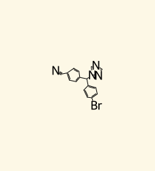 N#Cc1ccc(C(c2ccc(Br)cc2)n2cncn2)cc1